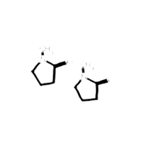 CN1CCCC1=O.CN1CCCC1=O